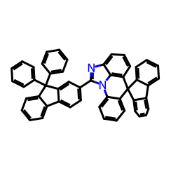 c1ccc(C2(c3ccccc3)c3ccccc3-c3ccc(-c4nc5cccc6c5n4-c4ccccc4C64c5ccccc5-c5ccccc54)cc32)cc1